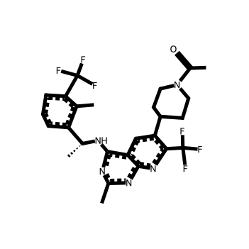 CC(=O)N1CCC(c2cc3c(N[C@H](C)c4cccc(C(F)(F)F)c4C)nc(C)nc3nc2C(F)(F)F)CC1